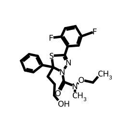 CCON(C)C(=O)N1N=C(c2cc(F)ccc2F)SC1(CCCO)c1ccccc1